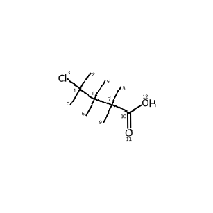 CC(C)(Cl)C(C)(C)C(C)(C)C(=O)O